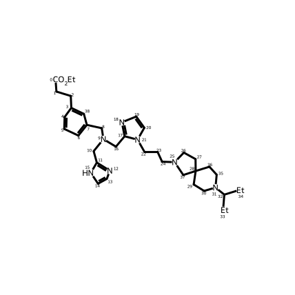 CCOC(=O)CCc1cccc(CN(Cc2ncc[nH]2)Cc2nccn2CCCN2CCC3(CCN(C(CC)CC)CC3)C2)c1